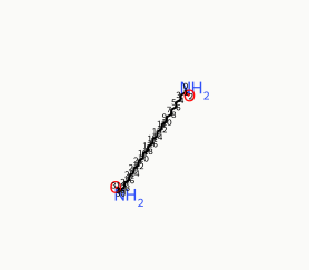 NC(=O)CCCCCCCCCCCCCCCCCCCCCCCCCCC(N)=O